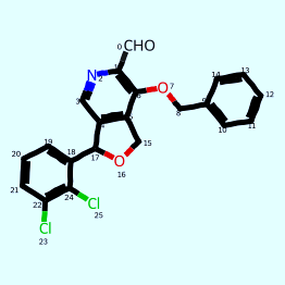 O=Cc1ncc2c(c1OCc1ccccc1)COC2c1cccc(Cl)c1Cl